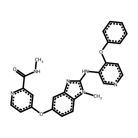 CNC(=O)c1cc(Oc2ccc3c(c2)nc(Nc2cnccc2Oc2ccccc2)n3C)ccn1